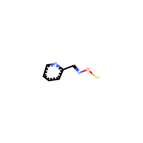 SO/N=C/c1ccccn1